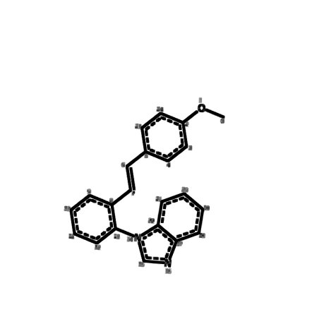 COc1ccc(C=Cc2ccccc2-n2cnc3ccccc32)cc1